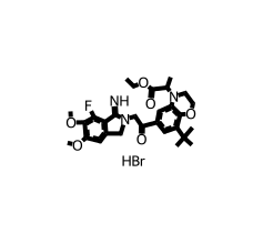 Br.CCOC(=O)C(C)N1CCOc2c1cc(C(=O)CN1Cc3cc(OC)c(OC)c(F)c3C1=N)cc2C(C)(C)C